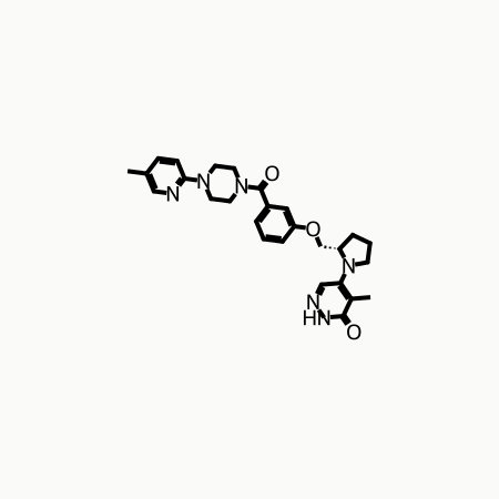 Cc1ccc(N2CCN(C(=O)c3cccc(OC[C@@H]4CCCN4c4cn[nH]c(=O)c4C)c3)CC2)nc1